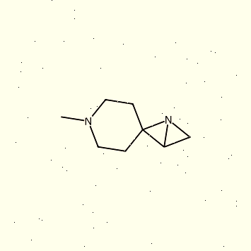 CN1CCC2(CC1)C1CN12